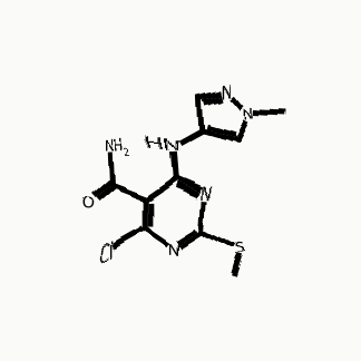 CSc1nc(Cl)c(C(N)=O)c(Nc2cnn(C)c2)n1